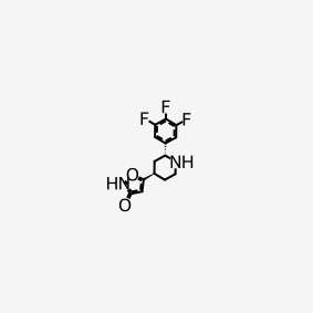 O=c1cc([C@@H]2CCN[C@@H](c3cc(F)c(F)c(F)c3)C2)o[nH]1